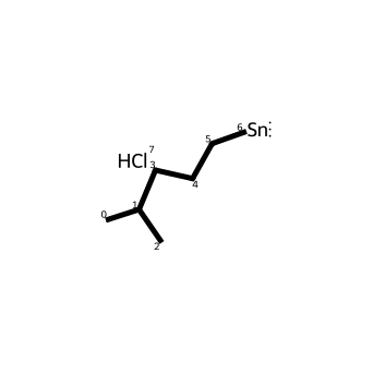 CC(C)CC[CH2][Sn].Cl